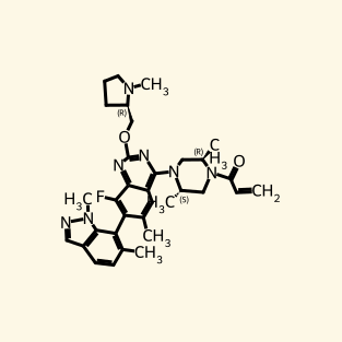 C=CC(=O)N1C[C@H](C)N(c2nc(OC[C@H]3CCCN3C)nc3c(F)c(-c4c(C)ccc5cnn(C)c45)c(C)cc23)C[C@H]1C